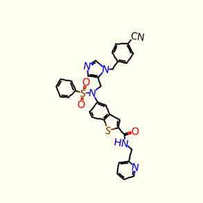 N#Cc1ccc(Cn2cncc2CN(c2ccc3sc(C(=O)NCc4ccccn4)cc3c2)S(=O)(=O)c2ccccc2)cc1